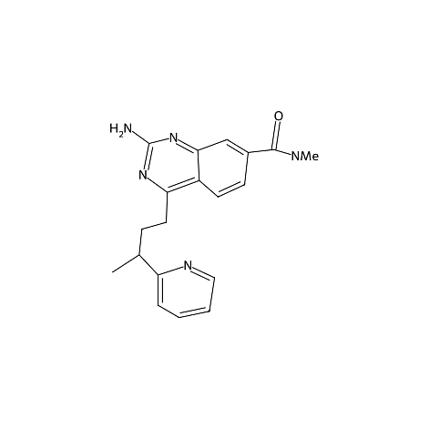 CNC(=O)c1ccc2c(CCC(C)c3ccccn3)nc(N)nc2c1